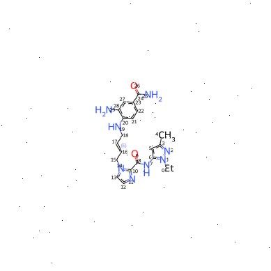 CCn1nc(C)cc1NC(=O)c1nccn1C/C=C/CNc1ccc(C(N)=O)cc1N